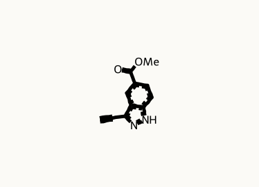 C#Cc1n[nH]c2ccc(C(=O)OC)cc12